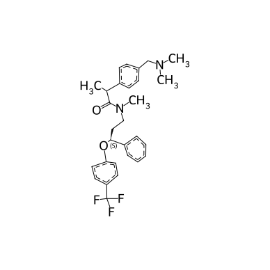 CC(C(=O)N(C)CC[C@H](Oc1ccc(C(F)(F)F)cc1)c1ccccc1)c1ccc(CN(C)C)cc1